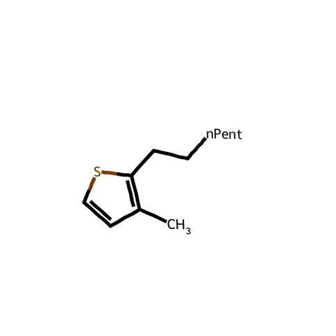 CCCCCCCc1sccc1C